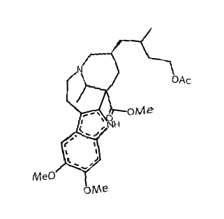 COC(=O)C12C[C@H](CC(C)CCOC(C)=O)CN(CCc3c1[nH]c1cc(OC)c(OC)cc31)C2C